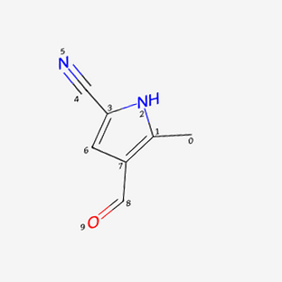 Cc1[nH]c(C#N)cc1C=O